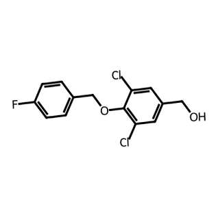 OCc1cc(Cl)c(OCc2ccc(F)cc2)c(Cl)c1